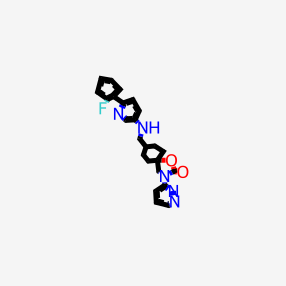 O=C1OC2(CCC(CNc3ccc(-c4ccccc4F)nc3)CC2)CN1c1cccnn1